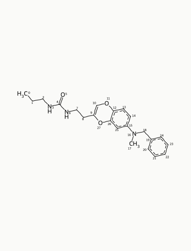 CCCNC(=O)NCCC1=COc2ccc(N(C)Cc3ccccc3)cc2O1